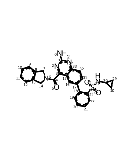 Nc1nc(C(=O)N2Cc3ccccc3C2)c2cc(-c3ccccc3S(=O)(=O)NC3CC3)ccc2n1